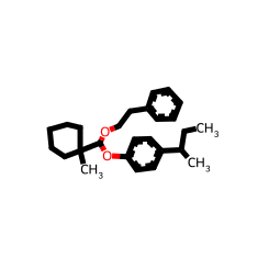 CCC(C)c1ccc(OC(OCCc2ccccc2)C2(C)CCCCC2)cc1